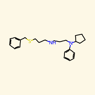 c1ccc(CSCCCNCCCN(c2ccccc2)C2CCCC2)cc1